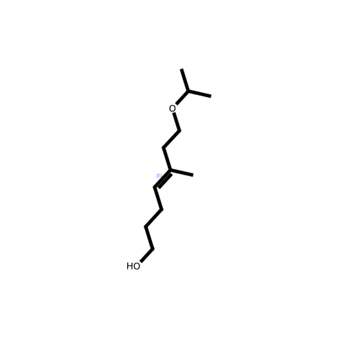 C/C(=C\CCCO)CCOC(C)C